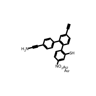 C#Cc1ccc(-c2ccc([N+](=O)[O-])cc2S)c(-c2ccc(C#CN)cc2)c1.[Au].[Au]